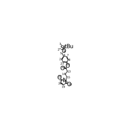 CC(C)(C)[Si](C)(C)OCc1ccc(OC(=O)CCCN2C(=O)C=CC2=O)cc1